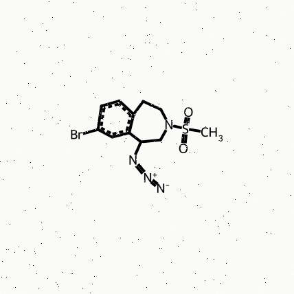 CS(=O)(=O)N1CCc2ccc(Br)cc2C(N=[N+]=[N-])C1